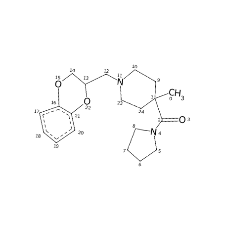 CC1(C(=O)N2CCCC2)CCN(CC2COc3ccccc3O2)CC1